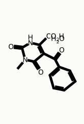 Cn1c(=O)[nH]c(C(=O)O)c(C(=O)c2ccccc2)c1=O.O